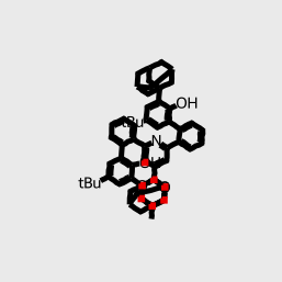 CC12COC(c3cc(-c4ccccc4-c4cc(C(C)(C)C)cc(C56CC7CC(CC(C7)C5)C6)c4O)nc(-c4ccccc4-c4cc(C(C)(C)C)cc(C56CC7CC(CC(C7)C5)C6)c4O)c3)(OC1)OC2